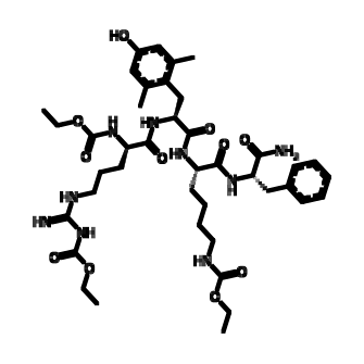 CCOC(=O)NCCCC[C@H](NC(=O)[C@H](Cc1c(C)cc(O)cc1C)NC(=O)[C@@H](CCCNC(=N)NC(=O)OCC)NC(=O)OCC)C(=O)N[C@@H](Cc1ccccc1)C(N)=O